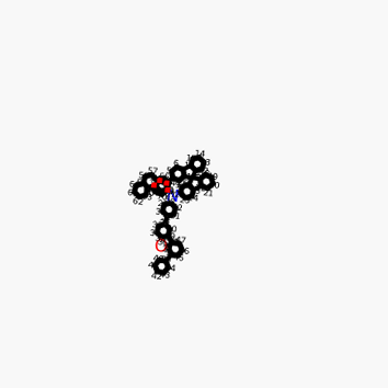 c1ccc(-c2ccc3c(c2)C2(c4ccccc4-3)c3ccccc3-c3ccc(N(c4ccc(-c5ccc6oc7c(-c8ccccc8)cccc7c6c5)cc4)c4ccc5ccc6ccccc6c5c4)cc32)cc1